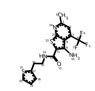 Cc1cc(C(F)(F)F)c2c(N)c(C(=O)NCCc3cccs3)sc2n1